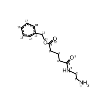 NCCNC(=O)CCCC(=O)OCc1ccccc1